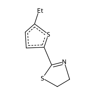 CCc1ccc(C2=NCCS2)s1